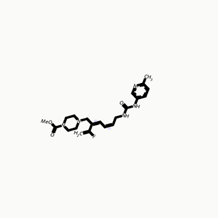 C=C(F)/C(=C\C=C/CNC(=O)Nc1ccc(C)nc1)CN1CCN(C(=O)OC)CC1